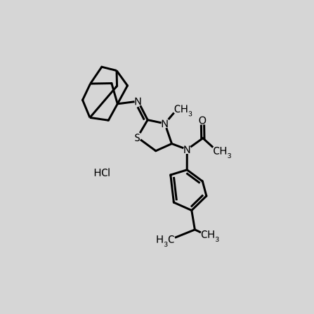 CC(=O)N(c1ccc(C(C)C)cc1)C1CSC(=NC23CC4CC(CC(C4)C2)C3)N1C.Cl